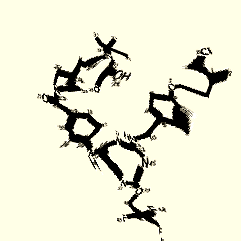 C=C(CCl)COc1ccc(CNc2nc(Nc3ccc(C(=O)N4CC(CN(C(=O)O)C(C)(C)C)C4)cc3)nc(OCC(F)(F)F)n2)cc1